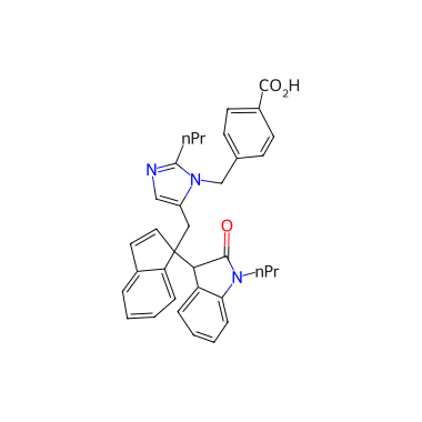 CCCc1ncc(CC2(C3C(=O)N(CCC)c4ccccc43)C=Cc3ccccc32)n1Cc1ccc(C(=O)O)cc1